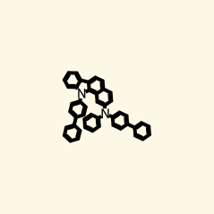 c1ccc(-c2ccc(N(c3ccccc3)c3ccc4ccc5c6ccccc6n(-c6ccc(-c7ccccc7)cc6)c5c4c3)cc2)cc1